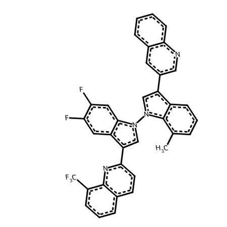 Cc1cccc2c(-c3cnc4ccccc4c3)cn(-n3cc(-c4ccc5cccc(C(F)(F)F)c5n4)c4cc(F)c(F)cc43)c12